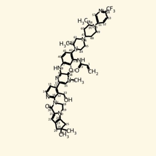 C=CC(=O)Nc1cc(Nc2nc(-c3ccnc(N4CCn5c(cc6c5CC(C)(C)C6)C4=O)c3CO)cn(C)c2=O)ccc1N1CCN(C2CCN(c3ccc(C(F)(F)F)nc3)[C@H](C)C2)C[C@@H]1C